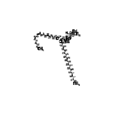 CCCCC/C=C\C/C=C\CCCCCCCCOC[C@H](COP(=O)([O-])OCC[N+](C)(C)C)OC(=O)CCCCCCCCCCCCCCCCCCCCC